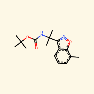 Cc1cccc2c(C(C)(C)NC(=O)OC(C)(C)C)noc12